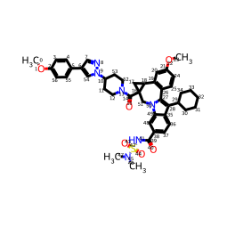 COc1ccc(-c2cnn(C3CCN(C(=O)C45CC4c4cc(OC)ccc4-c4c(C6CCCCC6)c6ccc(C(=O)NS(=O)(=O)N(C)C)cc6n4C5)CC3)c2)cc1